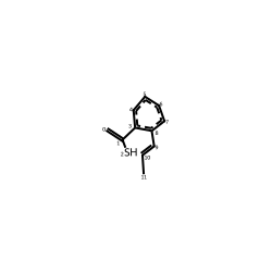 C=C(S)c1ccccc1C=CC